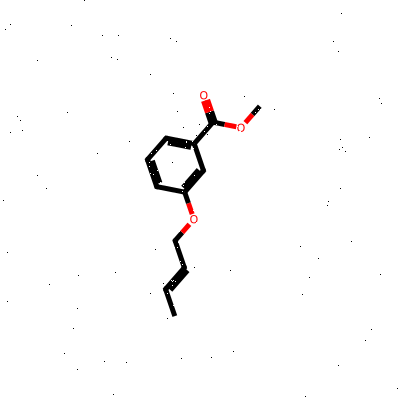 C/C=C/COc1cccc(C(=O)OC)c1